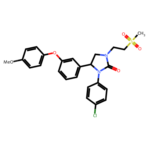 COc1ccc(Oc2cccc(C3CN(CCS(C)(=O)=O)C(=O)N3c3ccc(Cl)cc3)c2)cc1